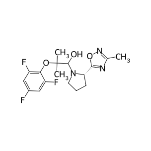 Cc1noc([C@@H]2CCCN2C(O)C(C)(C)Oc2c(F)cc(F)cc2F)n1